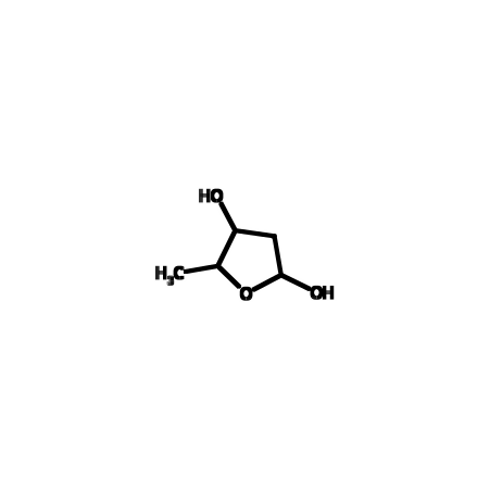 CC1OC(O)CC1O